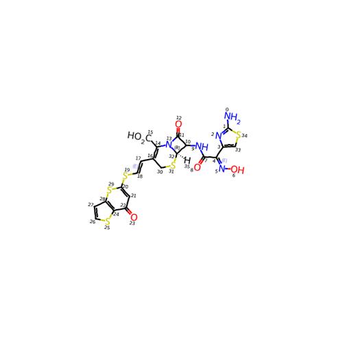 Nc1nc(/C(=N\O)C(=O)NC2C(=O)N3C(C(=O)O)=C(/C=C/Sc4cc(=O)c5sccc5s4)CS[C@H]23)cs1